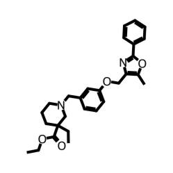 CCOC(=O)C1(CC)CCCN(Cc2cccc(OCc3nc(-c4ccccc4)oc3C)c2)C1